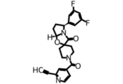 C#Cc1cc(C(=O)N2CCC3(CC2)O[C@@H]2CC[C@@H](c4cc(F)cc(F)c4)N2C3=O)ccn1